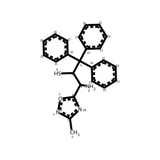 Cc1noc(C(N)C(S)C(c2ccccc2)(c2ccccc2)c2ccccc2)n1